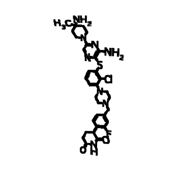 CC1(N)CCN(c2cnc(Sc3cccc(N4CCN(Cc5ccc(C6CCC(=O)NC6=O)c(F)c5)CC4)c3Cl)c(N)n2)CC1